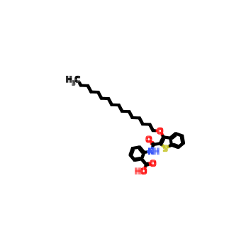 CCCCCCCCCCCCCCCCOc1c(C(=O)Nc2ccccc2C(=O)O)sc2ccccc12